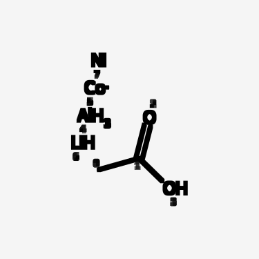 CC(=O)O.[AlH3].[Co].[LiH].[Ni]